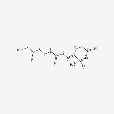 CC[S+]([O-])CCNC(=O)ON=C1SCC(=O)NC1(C)C